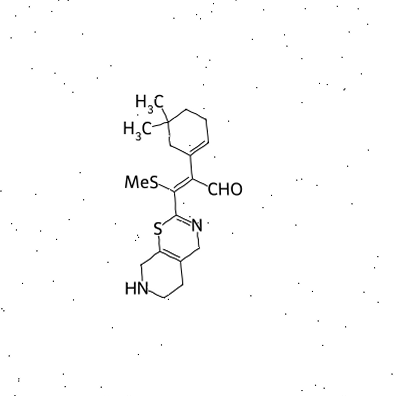 CS/C(C1=NCC2=C(CNCC2)S1)=C(/C=O)C1=CCCC(C)(C)C1